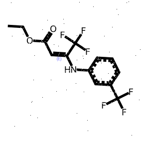 CCOC(=O)/C=C(/Nc1cccc(C(F)(F)F)c1)C(F)(F)F